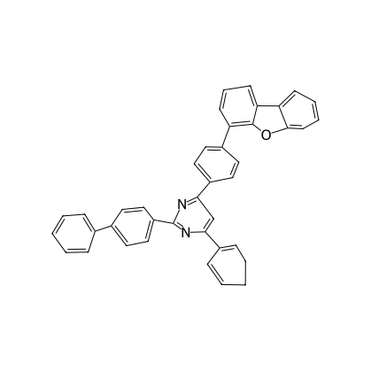 C1=CC(c2cc(-c3ccc(-c4cccc5c4oc4ccccc45)cc3)nc(-c3ccc(-c4ccccc4)cc3)n2)=CCC1